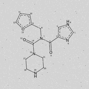 O=C(c1c[nH]cn1)N(Cc1ccco1)C(=O)N1CCNCC1